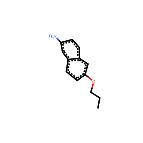 CCCOc1ccc2cc(N)ccc2c1